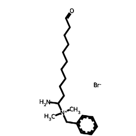 C[N+](C)(Cc1ccccc1)C(N)CCCCCCCCCC=O.[Br-]